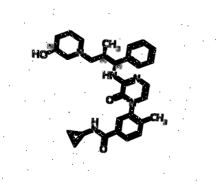 Cc1ccc(C(=O)NC2CC2)cc1-n1ccnc(N[C@@H](c2ccccc2)[C@H](C)CN2CCC[C@H](O)C2)c1=O